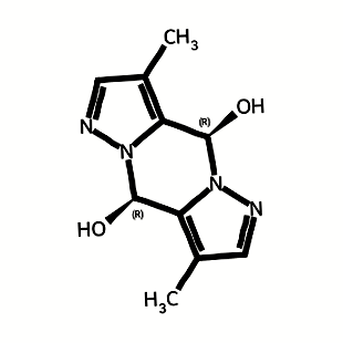 Cc1cnn2c1[C@@H](O)n1ncc(C)c1[C@H]2O